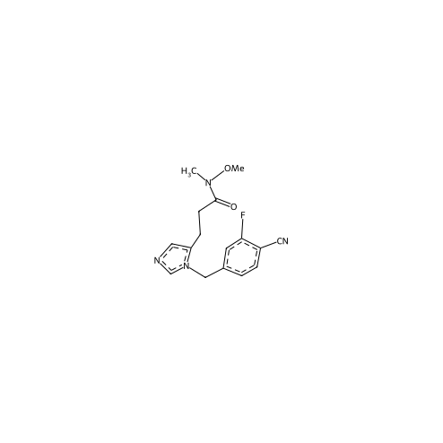 CON(C)C(=O)CCc1cncn1Cc1ccc(C#N)c(F)c1